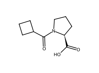 O=C(O)[C@@H]1CCCN1C(=O)C1CCC1